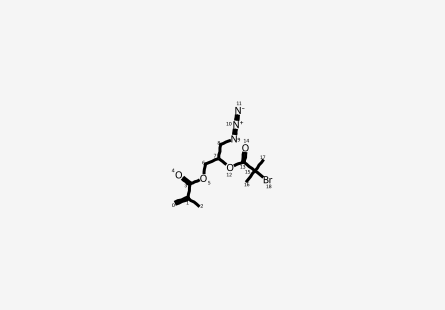 C=C(C)C(=O)OCC(CN=[N+]=[N-])OC(=O)C(C)(C)Br